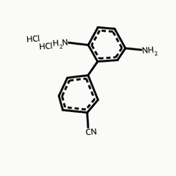 Cl.Cl.N#Cc1cccc(-c2cc(N)ccc2N)c1